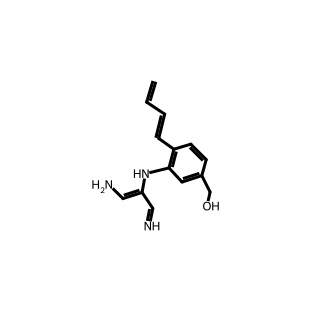 C=C/C=C/c1ccc(CO)cc1N/C(C=N)=C\N